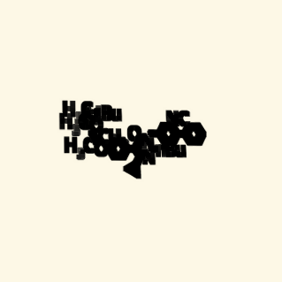 CCCCc1nc(C2CC2)c(-c2ccc(OC(C)(C)CO[Si](C)(C)C(C)(C)C)cc2)c(=O)n1Cc1ccc(-c2ccccc2C#N)cc1